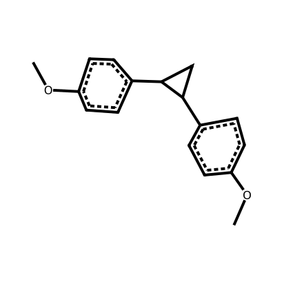 COc1ccc(C2CC2c2ccc(OC)cc2)cc1